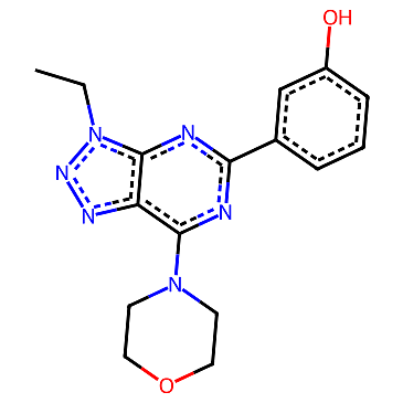 CCn1nnc2c(N3CCOCC3)nc(-c3cccc(O)c3)nc21